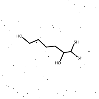 OCCCCC(O)C(S)S